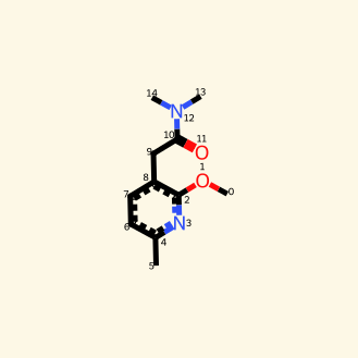 COc1nc(C)ccc1CC(=O)N(C)C